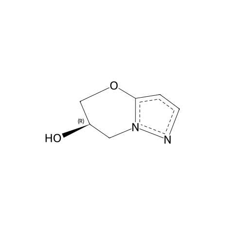 O[C@H]1COc2ccnn2C1